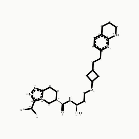 O=C(N[C@@H](CCOC1CC(CCc2ccc3c(n2)NCCC3)C1)C(=O)O)[C@H]1CCc2nnc(C(F)F)n2C1